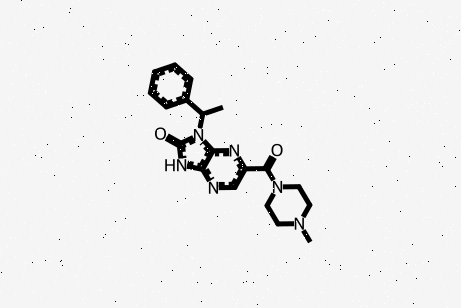 CC(c1ccccc1)n1c(=O)[nH]c2ncc(C(=O)N3CCN(C)CC3)nc21